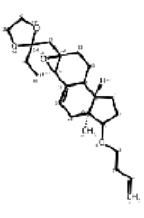 C=CCCOC1CC[C@H]2C3CC[C@@]45CC6(CC[C@@]4(O5)C3=CC[C@]12C)OCCO6